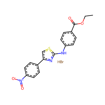 Br.CCOC(=O)c1ccc(Nc2nc(-c3ccc([N+](=O)[O-])cc3)cs2)cc1